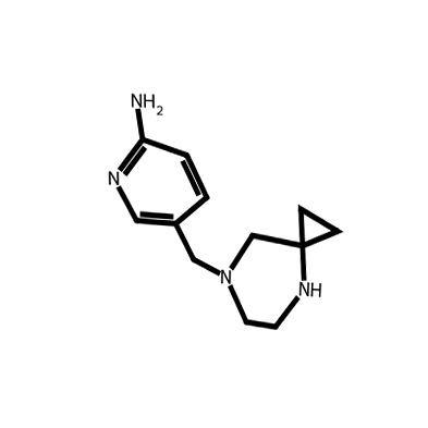 Nc1ccc(CN2CCNC3(CC3)C2)cn1